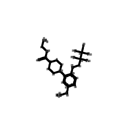 CCOC(=O)C1CCN(c2cc(OC)ncc2OCC(F)(F)C(F)(F)F)CC1